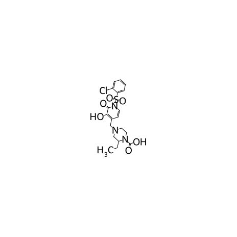 CCC1CN(Cc2ccn(S(=O)(=O)c3ccccc3Cl)c(=O)c2O)CCN1C(=O)O